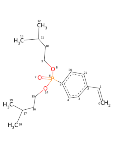 C=Cc1ccc(P(=O)(OCCC(C)C)OCCC(C)C)cc1